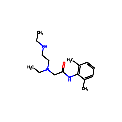 CCNCCN(CC)CC(=O)Nc1c(C)cccc1C